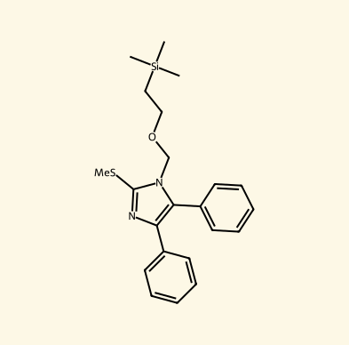 CSc1nc(-c2ccccc2)c(-c2ccccc2)n1COCC[Si](C)(C)C